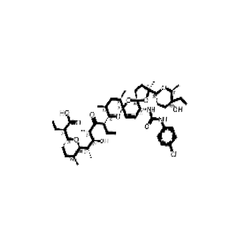 CCC(C(=O)[C@@H](C)[C@@H](O)[C@H](C)[C@@H]1O[C@@H]([C@@H](CC)C(=O)O)CC[C@@H]1C)[C@H]1O[C@]2(C=C[C@@H](NC(=O)Nc3ccc(Cl)cc3)[C@]3(CC[C@@](C)([C@H]4CC[C@](O)(CC)[C@H](C)O4)O3)O2)[C@H](C)C[C@@H]1C